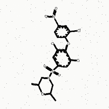 CC1CN(S(=O)(=O)c2cc(Cl)c(Oc3ccc([N+](=O)[O-])cc3Cl)c(Cl)c2)CC(C)O1